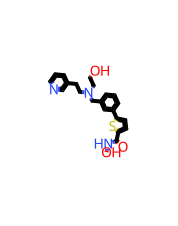 O=C(NO)c1ccc(-c2cccc(CN(CCO)CCc3cccnc3)c2)s1